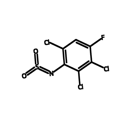 O=S(=O)=Nc1c(Cl)cc(F)c(Cl)c1Cl